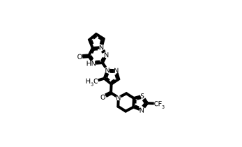 Cc1c(C(=O)N2CCc3nc(C(F)(F)F)sc3C2)cnn1-c1nn2cccc2c(=O)[nH]1